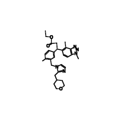 CCOC(=O)CC(c1ccc(C)c(Cn2ccnc2CC2CCOCC2)c1)c1ccc2c(nnn2C)c1C